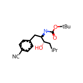 CC(C)C[C@H](O)/C(Cc1ccc(C#N)cc1)=N\C(=O)OC(C)(C)C